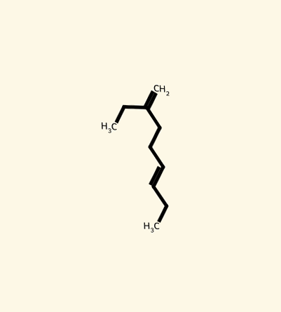 C=C(CC)CCC=CCC